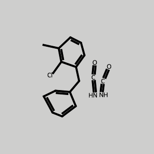 Cc1cccc(Cc2ccccc2)c1Cl.N=C=O.N=C=O